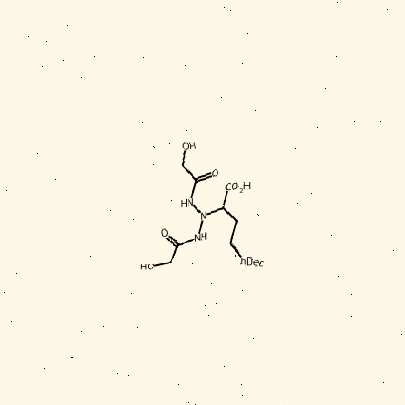 CCCCCCCCCCCCC(C(=O)O)N(NC(=O)CO)NC(=O)CO